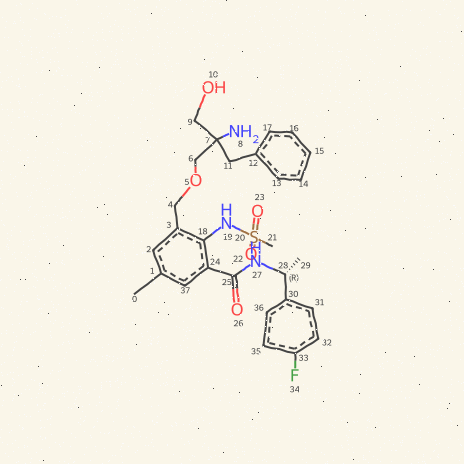 Cc1cc(COCC(N)(CO)Cc2ccccc2)c(NS(C)(=O)=O)c(C(=O)N[C@H](C)c2ccc(F)cc2)c1